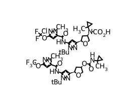 Cn1nc(OC(F)(F)Cl)cc1C(=O)Nc1cc([C@H]2C[C@@H](N(C(=O)O)C3(C)CC3)CO2)nn1C(C)(C)C.Cn1nc(OC(F)(F)F)cc1C(=O)Nc1cc([C@H]2C[C@@H](OC(=O)NC3(C)CC3)CO2)nn1C(C)(C)C